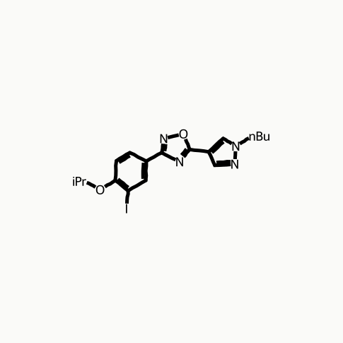 CCCCn1cc(-c2nc(-c3ccc(OC(C)C)c(I)c3)no2)cn1